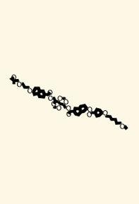 C=COCCCCCCOc1ccc(C(=O)Oc2ccc3cc(C(=O)OCC4OCOC5C(COC(=O)c6ccc7cc(OCCCOCC8(C)CO8)ccc7c6)OCOC45)ccc3c2)cc1